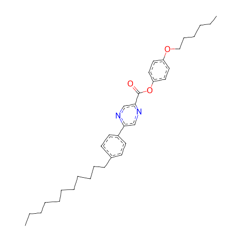 CCCCCCCCCCCc1ccc(-c2cnc(C(=O)Oc3ccc(OCCCCCC)cc3)cn2)cc1